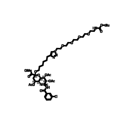 COC(=O)[C@@]1(OCCCCCCc2cn(CCOCCOCCOCCOCCNC(=O)OC(C)(C)C)nn2)C[C@H](OC(C)=O)[C@@H](NC(C)=O)[C@H]([C@H](OC(C)=O)[C@@H](CNC(=O)c2cccc(Cl)c2)OC(C)=O)O1